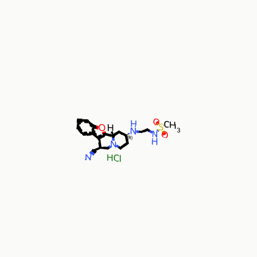 CS(=O)(=O)NCCN[C@@H]1CCN2CC(C#N)c3c(oc4ccccc34)[C@@H]2C1.Cl